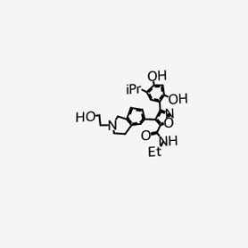 CCNC(=O)c1onc(-c2cc(C(C)C)c(O)cc2O)c1-c1ccc2c(c1)CCN(CCO)C2